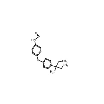 CCC(C)(CC)c1ccc(Oc2ccc(NC=O)cc2)cc1